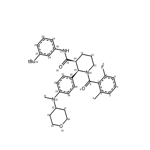 Cc1cccc(F)c1C(=O)N1CCC[C@H](C(=O)Nc2cccc(C(C)(C)C)c2)[C@@H]1c1ccc(N(C)C2CCOCC2)cc1